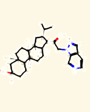 CC(C)[C@@H]1C[C@H]2[C@@H]3CC[C@H]4C[C@](C)(O)CC[C@]4(C)[C@H]3CC[C@]2(C)[C@H]1C(=O)Cn1ncc2ccncc21